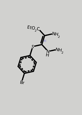 CCOC(=O)/C(N)=C(/NN)Sc1ccc(Br)cc1